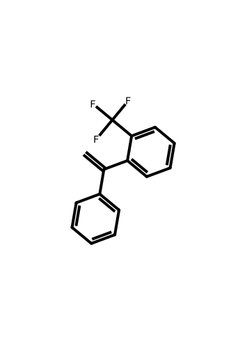 C=C(c1ccccc1)c1ccccc1C(F)(F)F